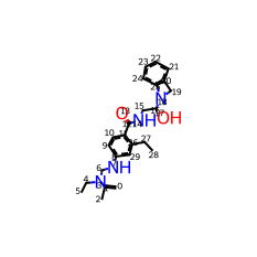 C=C(C)N(CC)CNc1ccc(C(=O)NCC(O)N2Cc3ccccc32)c(CC)c1